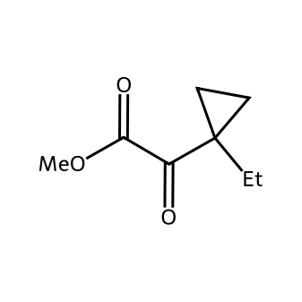 CCC1(C(=O)C(=O)OC)CC1